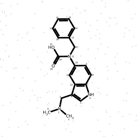 CN(C)Cc1c[nH]c2ccc(N(Cc3ccccc3)C(=O)O)cc12